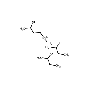 CCC(C)[O-].CCC(C)[O-].[CH3][Sn+2][CH2]CC(C)N